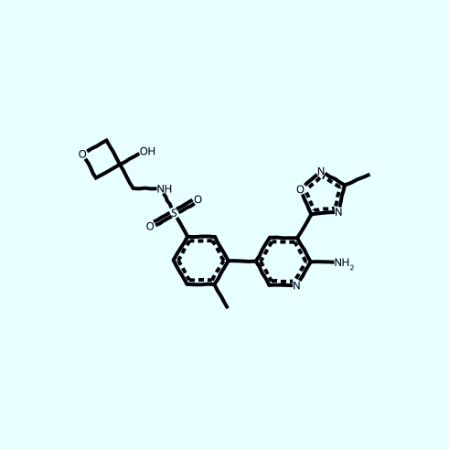 Cc1noc(-c2cc(-c3cc(S(=O)(=O)NCC4(O)COC4)ccc3C)cnc2N)n1